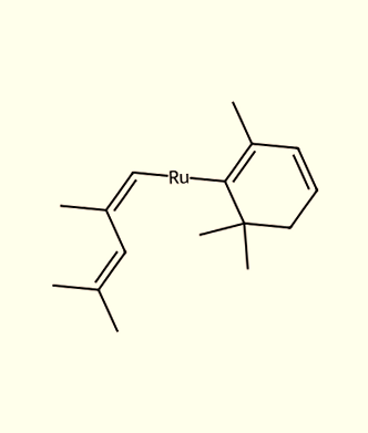 CC(C)=CC(C)=[CH][Ru][C]1=C(C)C=CCC1(C)C